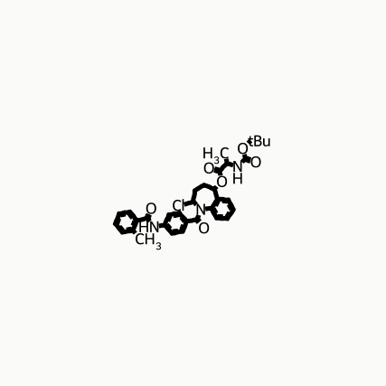 Cc1ccccc1C(=O)Nc1ccc(C(=O)N2c3ccccc3C(OC(=O)C(C)NC(=O)OC(C)(C)C)CCC2Cl)cc1